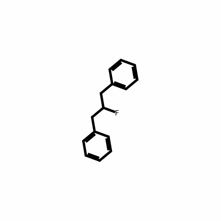 FC(Cc1ccccc1)Cc1ccccc1